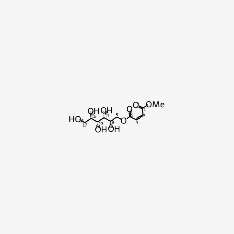 COC(=O)/C=C\C(=O)OC[C@@H](O)[C@@H](O)[C@H](O)[C@H](O)CO